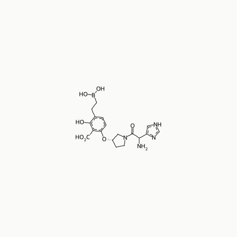 NC(C(=O)N1CC[C@H](Oc2ccc(CCB(O)O)c(O)c2C(=O)O)C1)c1c[nH]cn1